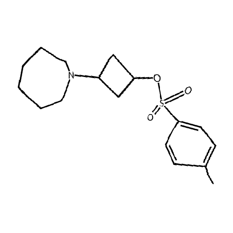 Cc1ccc(S(=O)(=O)OC2CC(N3CCCCCC3)C2)cc1